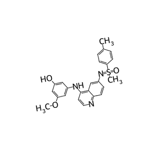 COc1cc(O)cc(Nc2ccnc3ccc(N=S(C)(=O)c4ccc(C)cc4)cc23)c1